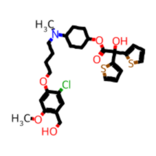 COc1cc(OCCCCN(C)C2CCC(OC(=O)C(O)(c3cccs3)c3cccs3)CC2)c(Cl)cc1CO